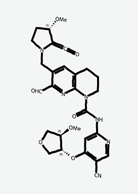 CO[C@H]1CCN(Cc2cc3c(nc2C=O)N(C(=O)Nc2cc(O[C@@H]4COC[C@H]4OC)c(C#N)cn2)CCC3)C1=C=O